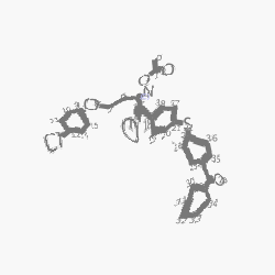 CC(=O)O/N=C(\CCOc1ccc(Cl)cc1)C(=O)c1ccc(Sc2ccc(C(=O)c3ccccc3)cc2)cc1